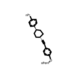 CCCCCOc1ccc(C#C[C@H]2CC[C@H](c3ccc(CCC)cc3)CC2)cc1